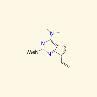 C=Cc1csc2c(N(C)C)nc(NC)nc12